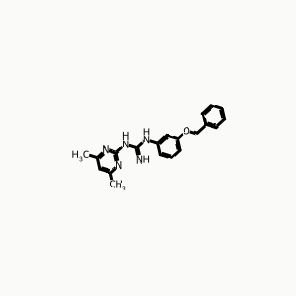 Cc1cc(C)nc(NC(=N)Nc2cccc(OCc3ccccc3)c2)n1